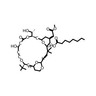 CCCCCCCC(=O)O[C@H]1/C(=C/C(=O)OC)CC2C[C@H]([C@@H](C)O)OC(=O)C[C@H](O)CCO[C@H](C(C)(C)C)C[C@@H]3CCO[C@H](/C=C/C(C)(C)[C@]1(O)O2)O3